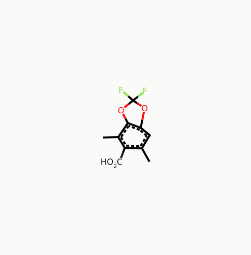 Cc1cc2c(c(C)c1C(=O)O)OC(F)(F)O2